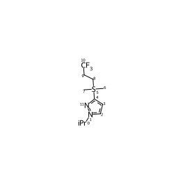 CC(C)n1ccc(S(C)(C)CCC(F)(F)F)n1